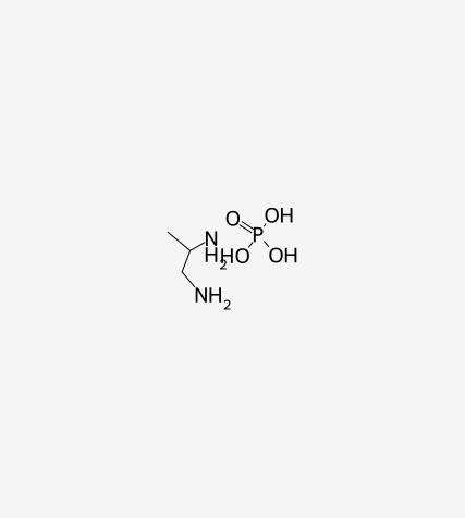 CC(N)CN.O=P(O)(O)O